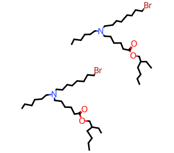 CCCCCCN(CCCCCCCCBr)CCCCCC(=O)OCC(CC)CCCC.CCCCCCN(CCCCCCCCBr)CCCCCC(=O)OCC(CC)CCCC